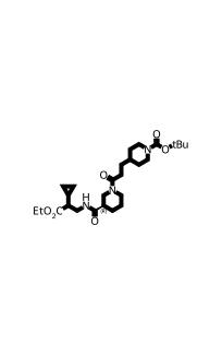 CCOC(=O)C(CNC(=O)[C@@H]1CCCN(C(=O)CCC2CCN(C(=O)OC(C)(C)C)CC2)C1)C1CC1